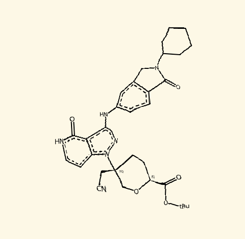 CC(C)(C)OC(=O)[C@@H]1CC[C@@](CC#N)(n2nc(Nc3ccc4c(c3)CN(C3CCCCC3)C4=O)c3c(=O)[nH]ccc32)CO1